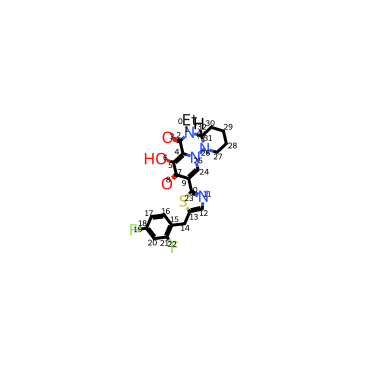 CCN1C(=O)c2c(O)c(=O)c(-c3ncc(Cc4ccc(F)cc4F)s3)cn2N2CCCC[C@@H]12